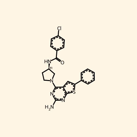 Nc1nc(N2CC[C@@H](NC(=O)c3ccc(Cl)cc3)C2)c2cc(-c3ccccc3)sc2n1